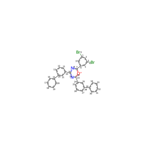 Brc1cc(Br)cc(-c2nc(-c3cccc(-c4ccccc4)c3)nc(-c3cccc(-c4ccccc4)c3)[o+]2)c1